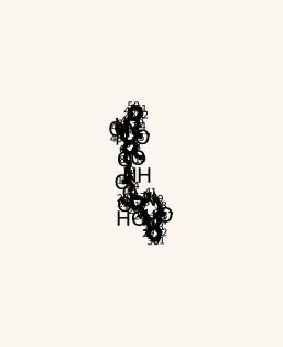 COc1cc2c(cc1OCCNC(=O)COc1cc3c(cc1OC)C(O)N1Cc4ccccc4CC1C(=O)CCN3C)N(C)C(=O)[C@@H]1Cc3ccccc3CN1C2=O